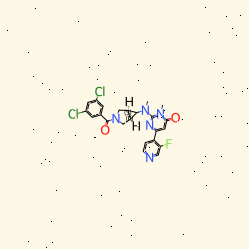 CN(c1nc(-c2ccncc2F)cc(=O)n1C)C1[C@H]2CN(C(=O)c3cc(Cl)cc(Cl)c3)C[C@@H]12